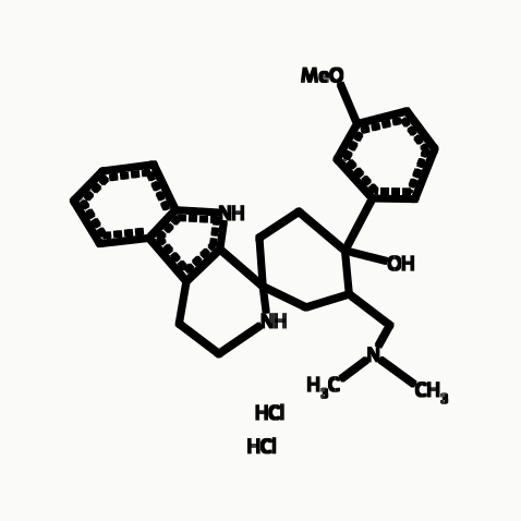 COc1cccc(C2(O)CCC3(CC2CN(C)C)NCCc2c3[nH]c3ccccc23)c1.Cl.Cl